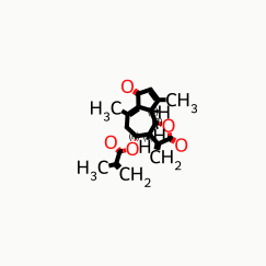 C=C(C)C(=O)O[C@@H]1CC(C)=C2C(=O)C=C(C)[C@@H]2[C@H]2OC(=O)C(=C)[C@@H]21